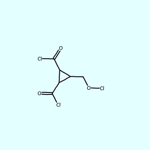 O=C(Cl)C1C(COCl)C1C(=O)Cl